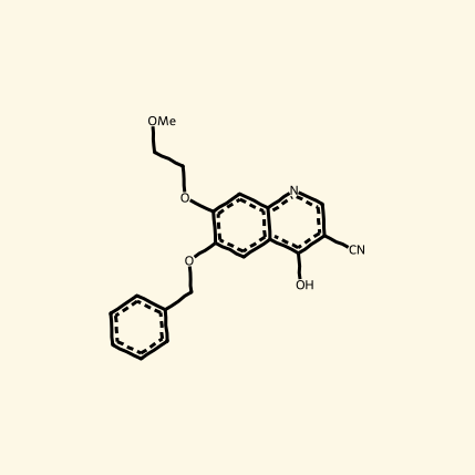 COCCOc1cc2ncc(C#N)c(O)c2cc1OCc1ccccc1